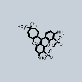 CC1(C(=O)O)C=CC(C(=O)O)=C(c2c3ccc(=N)c(S(=O)(=O)Cl)c-3oc3c(S(=O)(=O)Cl)c(N)ccc23)CC1